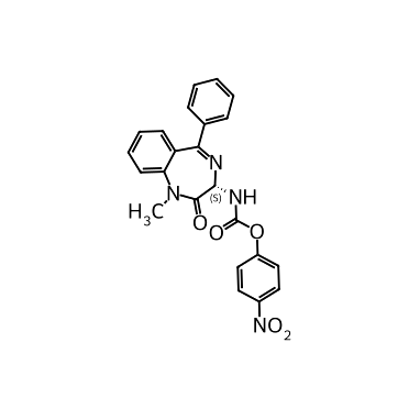 CN1C(=O)[C@@H](NC(=O)Oc2ccc([N+](=O)[O-])cc2)N=C(c2ccccc2)c2ccccc21